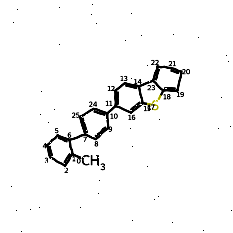 Cc1ccccc1-c1ccc(-c2ccc3c(c2)sc2ccccc23)cc1